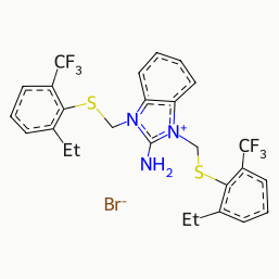 CCc1cccc(C(F)(F)F)c1SCn1c(N)[n+](CSc2c(CC)cccc2C(F)(F)F)c2ccccc21.[Br-]